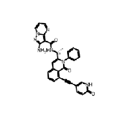 C[C@@H](NC(=O)c1c(N)nn2cccnc12)c1cc2cccc(C#Cc3ccc(=O)[nH]c3)c2c(=O)n1-c1ccccc1